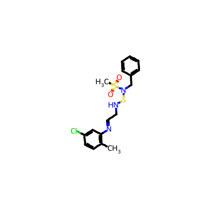 Cc1ccc(Cl)cc1N=CCNSN(Cc1ccccc1)S(C)(=O)=O